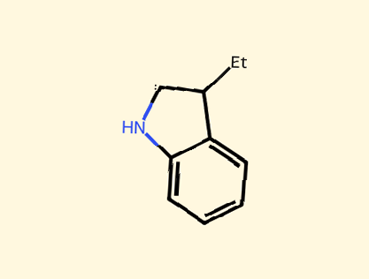 CCC1[C]Nc2ccccc21